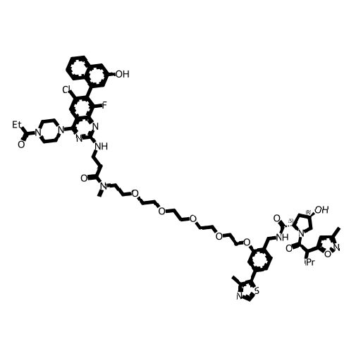 CCC(=O)N1CCN(c2nc(NCCC(=O)N(C)CCOCCOCCOCCOCCOc3cc(-c4scnc4C)ccc3CNC(=O)[C@@H]3C[C@@H](O)CN3C(=O)C(c3cc(C)no3)C(C)C)nc3c(F)c(-c4cc(O)cc5ccccc45)c(Cl)cc23)CC1